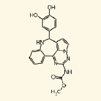 COC(=O)Nc1nc2c3c(ccn3n1)C(c1ccc(O)c(O)c1)Nc1ccccc1-2